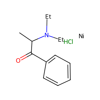 CCN(CC)C(C)C(=O)c1ccccc1.Cl.[Ni]